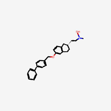 CN(O)CC[C@@H]1CCc2cc(OCc3ccc(-c4ccccc4)cc3)ccc2C1